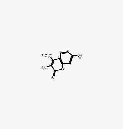 CCOC(=O)c1c(C)c(=O)oc2cc(O)ccc12